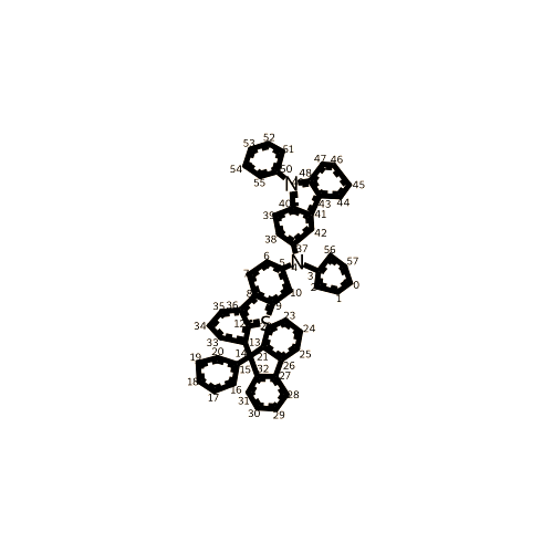 c1ccc(N(c2ccc3c(c2)sc2c(C4(c5ccccc5)c5ccccc5-c5ccccc54)cccc23)c2ccc3c(c2)c2ccccc2n3-c2ccccc2)cc1